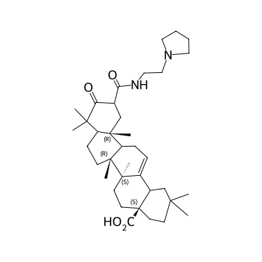 CC1(C)CC[C@]2(C(=O)O)CC[C@]3(C)C(=CCC4[C@@]5(C)CC(C(=O)NCCN6CCCC6)C(=O)C(C)(C)C5CC[C@]43C)C2C1